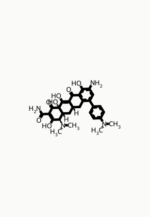 CN(C)c1ccc(-c2cc(N)c(O)c3c2C[C@@H]2C[C@@H]4[C@@H](N(C)C)C(O)=C(C(N)=O)C(=O)[C@]4(O)C(O)=C2C3=O)cc1